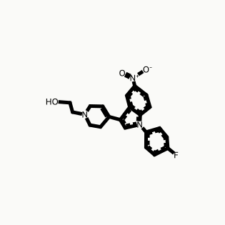 O=[N+]([O-])c1ccc2c(c1)c(C1=CCN(CCO)CC1)cn2-c1ccc(F)cc1